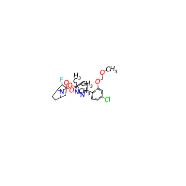 COCOc1cc(Cl)ccc1-c1ccc(OC2CC3CCC(C2F)N3C(=O)OC(C)(C)C)nn1